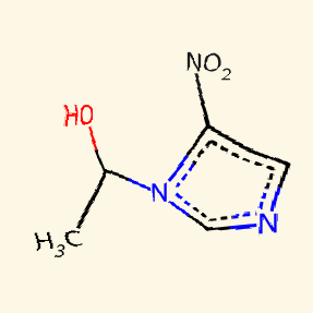 CC(O)n1cncc1[N+](=O)[O-]